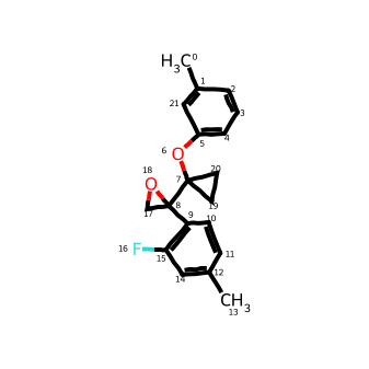 Cc1cccc(OC2(C3(c4ccc(C)cc4F)CO3)CC2)c1